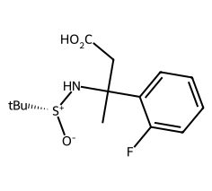 CC(CC(=O)O)(N[S@+]([O-])C(C)(C)C)c1ccccc1F